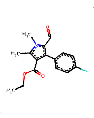 CCOC(=O)c1c(-c2ccc(F)cc2)c(C=O)n(C)c1C